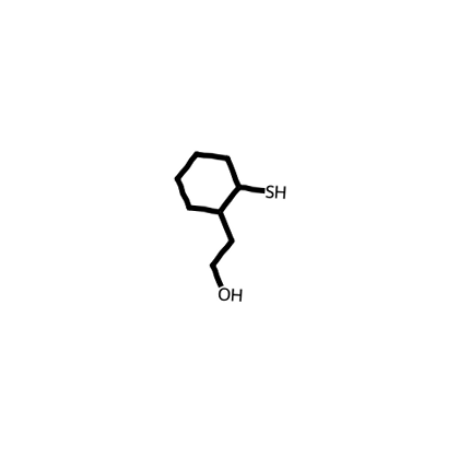 OCCC1CCCCC1S